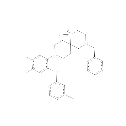 O=S1(=O)CCN(Cc2ccccc2)CC12CCN(c1cc(F)c(F)cc1Oc1cccc(F)c1)CC2